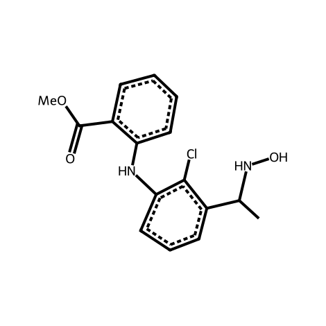 COC(=O)c1ccccc1Nc1cccc(C(C)NO)c1Cl